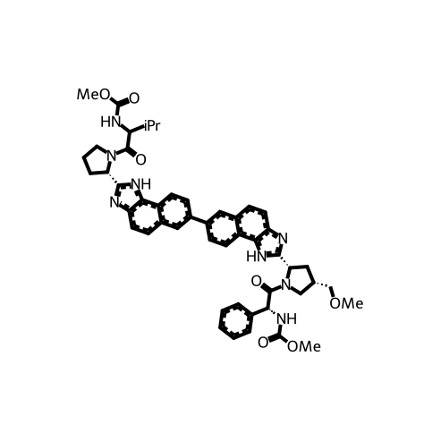 COC[C@H]1C[C@@H](c2nc3ccc4cc(-c5ccc6c(ccc7nc([C@@H]8CCCN8C(=O)C(NC(=O)OC)C(C)C)[nH]c76)c5)ccc4c3[nH]2)N(C(=O)[C@H](NC(=O)OC)c2ccccc2)C1